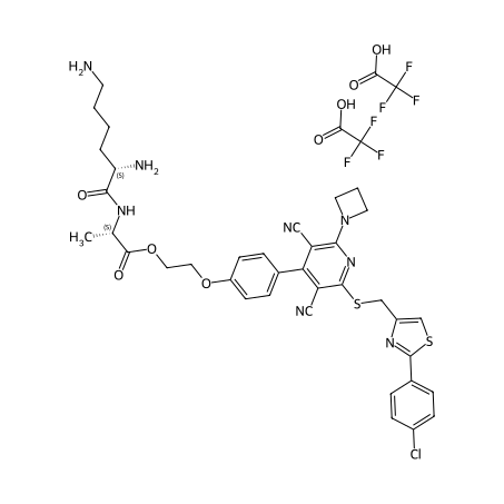 C[C@H](NC(=O)[C@@H](N)CCCCN)C(=O)OCCOc1ccc(-c2c(C#N)c(SCc3csc(-c4ccc(Cl)cc4)n3)nc(N3CCC3)c2C#N)cc1.O=C(O)C(F)(F)F.O=C(O)C(F)(F)F